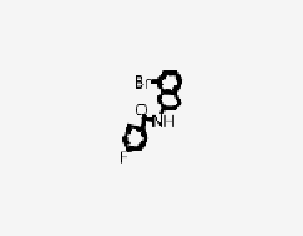 O=C(NC1CCc2cccc(Br)c2C1)c1ccc(F)cc1